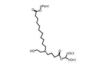 CCCCCCCCC(CCCCCCCC)OC(=O)CCCN(CCO)CCCCCCCCCCC(=O)OCCCCC